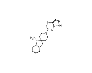 NC1c2ccccc2CC12CCN(c1cnc3cn[nH]c3n1)CC2